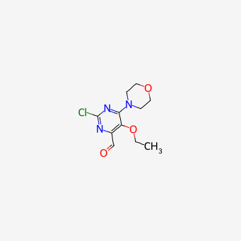 CCOc1c(C=O)nc(Cl)nc1N1CCOCC1